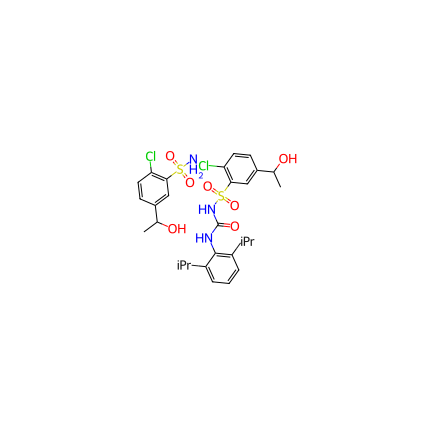 CC(C)c1cccc(C(C)C)c1NC(=O)NS(=O)(=O)c1cc(C(C)O)ccc1Cl.CC(O)c1ccc(Cl)c(S(N)(=O)=O)c1